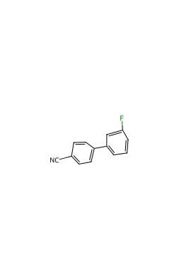 N#Cc1ccc(-c2cccc(F)c2)cc1